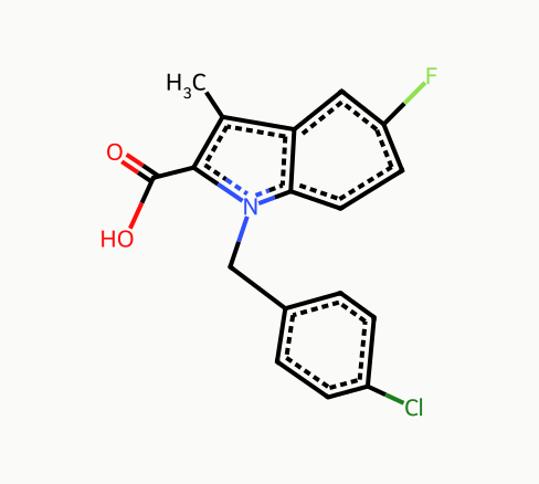 Cc1c(C(=O)O)n(Cc2ccc(Cl)cc2)c2ccc(F)cc12